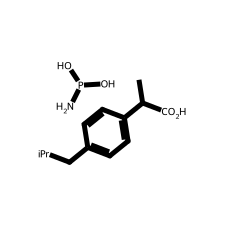 CC(C)Cc1ccc(C(C)C(=O)O)cc1.NP(O)O